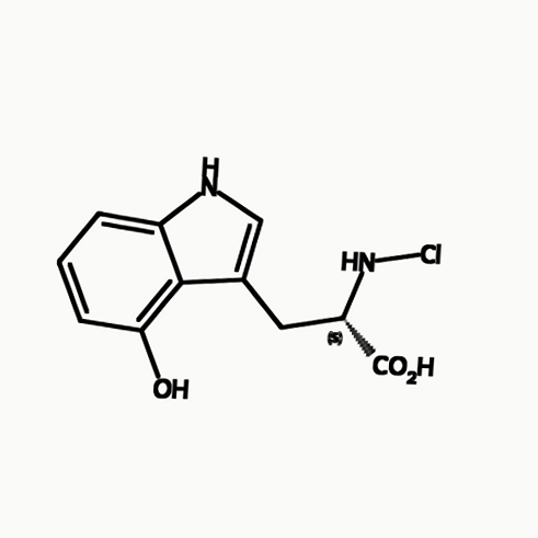 O=C(O)[C@H](Cc1c[nH]c2cccc(O)c12)NCl